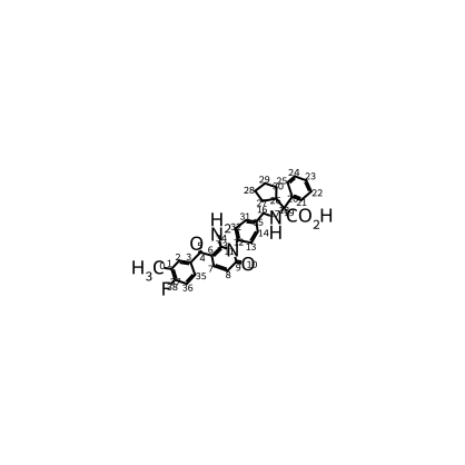 Cc1cc(C(=O)c2ccc(=O)n(-c3ccc(CN[C@](C(=O)O)(c4ccccc4)C4CCCC4)cc3)c2N)ccc1F